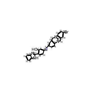 Oc1cc(/N=C/c2ccc3c(c2)CN2CN3Cc3cc(Br)ccc32)ccc1-c1nc2ccccc2[nH]1